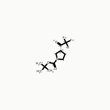 CC(C)(C)OC(=O)N1CC[C@@H](C(=O)C(F)(F)F)C1